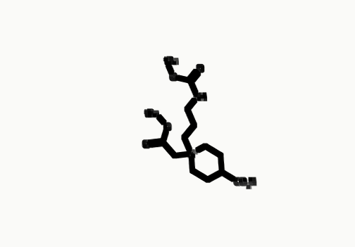 CC(C)(C)OC(=O)C[N+]1(CCCNC(=O)OC(C)(C)C)CCC(C(=O)O)CC1